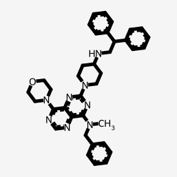 CN(Cc1ccccc1)c1nc(N2CCC(NCC(c3ccccc3)c3ccccc3)CC2)nc2c(N3CCOCC3)ncnc12